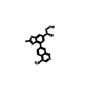 Cc1nc2c(-c3ccc4c(N)cnnc4c3)cc(B(O)OC=O)cc2o1